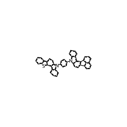 c1cc2c3c(cccc3c1)-c1c-2ccc2c1c1ccccc1n2-c1ccc(-n2c3ccccc3c3c4sc5ccccc5c4ccc32)cc1